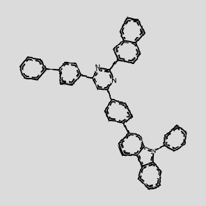 c1ccc(-c2ccc(-c3cc(-c4ccc(-c5ccc6c7ccccc7n(-c7ccccc7)c6c5)cc4)nc(-c4ccc5ccccc5c4)n3)cc2)cc1